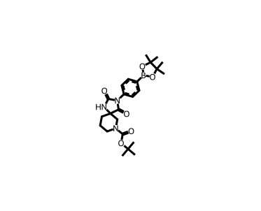 CC(C)(C)OC(=O)N1CCCC2(C1)NC(=O)N(c1ccc(B3OC(C)(C)C(C)(C)O3)cc1)C2=O